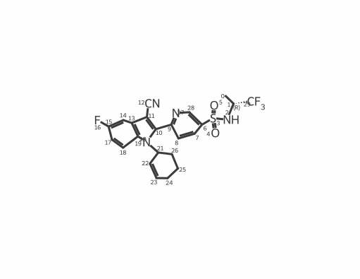 C[C@@H](NS(=O)(=O)c1ccc(-c2c(C#N)c3cc(F)ccc3n2C2C=CCCC2)nc1)C(F)(F)F